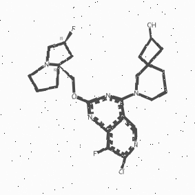 OC1CC2(CCCN(c3nc(OC[C@@]45CCCN4C[C@@H](F)C5)nc4c(F)c(Cl)ncc34)C2)C1